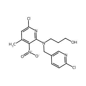 Cc1cc(Cl)nc(N(CCCO)Cc2ccc(Cl)nc2)c1[N+](=O)[O-]